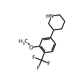 COc1cc(C2CCCNC2)ccc1C(F)(F)F